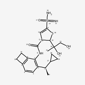 C[C@@H](c1ccc2c(c1NC(=O)N1C=C(S(=N)(N)=O)SC1C(C)(O)CO)CC2)C1CC1